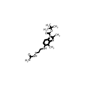 Cc1c(NCCSNC(N)=O)ccc2c1nc(C)n2C(=O)OC(C)(C)C